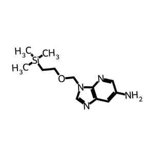 C[Si](C)(C)CCOCn1cnc2cc(N)cnc21